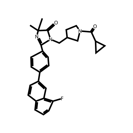 CC1(C)N=C(c2ccc(-c3ccc4cccc(F)c4c3)cc2)N(CC2CCN(C(=O)C3CC3)C2)C1=O